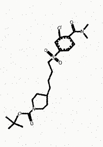 CN(C)C(=O)c1ccc(S(=O)(=O)CCCCC2CCN(C(=O)OC(C)(C)C)CC2)cc1Cl